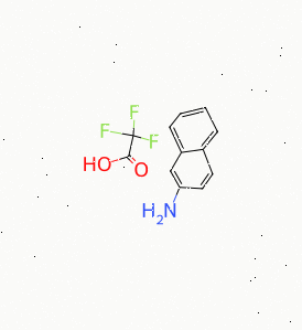 Nc1ccc2ccccc2c1.O=C(O)C(F)(F)F